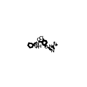 CN(C)c1cncc(Oc2ccc(Cl)c(C(=O)NCC3(O)CCCCC3)c2)n1